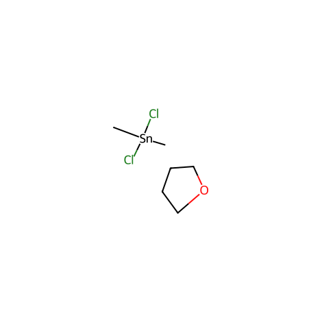 C1CCOC1.[CH3][Sn]([CH3])([Cl])[Cl]